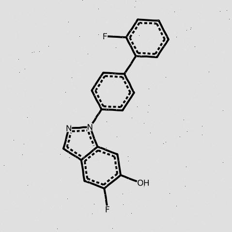 Oc1cc2c(cnn2-c2ccc(-c3ccccc3F)cc2)cc1F